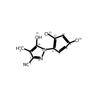 Cc1c(C#N)nn(-c2ccc(Cl)cc2Cl)c1O